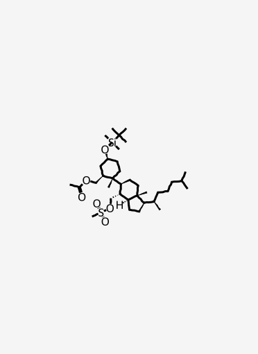 CC(=O)OC[C@H]1C[C@@H](O[Si](C)(C)C(C)(C)C)CC[C@]1(C)[C@H]1CC[C@]2(C)[C@@H]([C@H](C)CCCC(C)C)CC[C@H]2[C@@H]1COS(C)(=O)=O